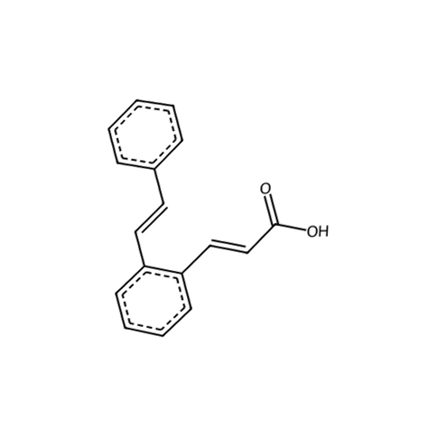 O=C(O)C=Cc1ccccc1C=Cc1ccccc1